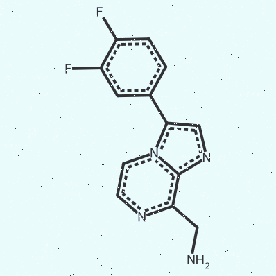 NCc1nccn2c(-c3ccc(F)c(F)c3)cnc12